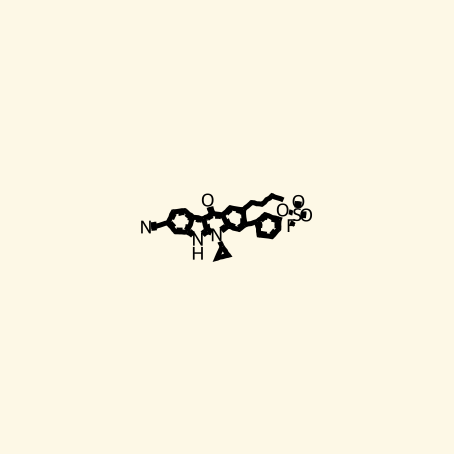 CCCCc1cc2c(=O)c3c4ccc(C#N)cc4[nH]c3n(C3CC3)c2cc1-c1cccc(OS(=O)(=O)F)c1